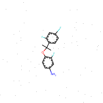 CC(C)(Oc1ccc(N)cc1F)c1ccc(F)cc1F